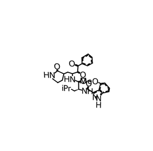 COc1cccc2[nH]nc(C(=O)N[C@@H](CC(C)C)C(=O)NC(CC3CCCNC3=O)C(=O)C(=O)c3ccccc3)c12